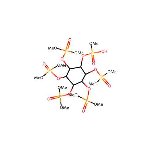 COP(=O)(O)OC1C(OP(=O)(OC)OC)C(OP(=O)(OC)OC)C(OP(=O)(OC)OC)C(OP(=O)(OC)OC)C1OP(=O)(OC)OC